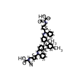 [C-]#[N+]/C(=C\c1ccc(/C(=C/c2ccc(N(c3ccc(/C=C(\c4ccccc4)c4ccc(/C=C(\C#N)C(=O)O)s4)cc3)c3c(C)cc(C)cc3C)cc2)c2ccccc2)s1)C(=O)O